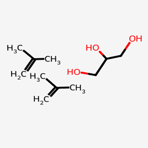 C=C(C)C.C=C(C)C.OCC(O)CO